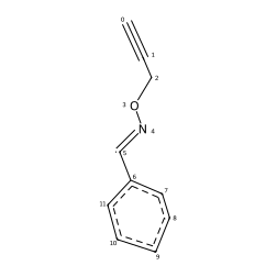 C#CCON=[C]c1ccccc1